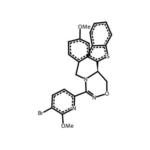 COc1ccc(CN2C(c3ccc(Br)c(OC)n3)=NOC[C@@H]2c2cc3ccccc3s2)cc1